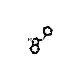 c1ccc(Sc2c[nH]c3ccccc23)cc1